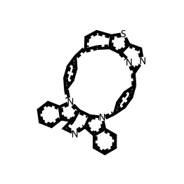 c1ccc2c(c1)c1cnc3c4ccccc4n4c5ccc(cc5)c5ncc6sc7ccc(cc7c6n5)c5ccc(cc5)n2c1c34